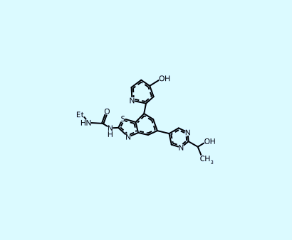 CCNC(=O)Nc1nc2cc(-c3cnc(C(C)O)nc3)cc(-c3cc(O)ccn3)c2s1